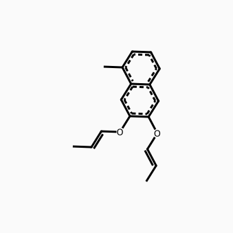 CC=COc1cc2cccc(C)c2cc1OC=CC